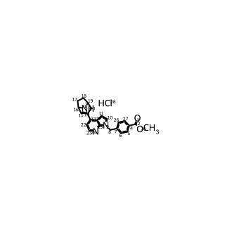 COC(=O)c1ccc(Cn2ccc3c(C4=CC5CCC(C4)N5)ccnc32)cc1.Cl